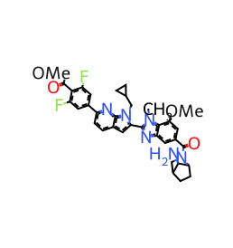 COC(=O)c1c(F)cc(-c2ccc3cc(-c4nc5cc(C(=O)N6CC7CCC6C7N)cc(OC)c5n4C)n(CC4CC4)c3n2)cc1F